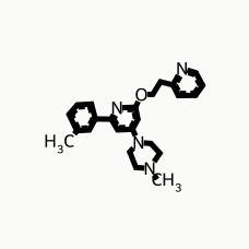 Cc1cccc(-c2cc(N3CCN(C)CC3)cc(OCCc3ccccn3)n2)c1